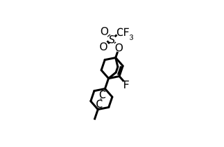 CC12CCC(C34CCC(OS(=O)(=O)C(F)(F)F)(C=C3F)CC4)(CC1)CC2